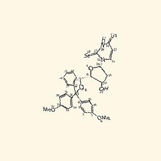 COc1ccc(C(OC[C@@H]2O[C@H](n3ccc(=O)[nH]c3=[Se])CC2O)(c2ccccc2)c2ccc(OC)cc2)cc1